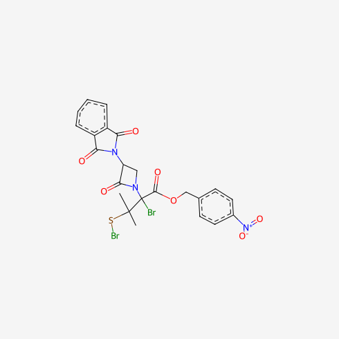 CC(C)(SBr)C(Br)(C(=O)OCc1ccc([N+](=O)[O-])cc1)N1CC(N2C(=O)c3ccccc3C2=O)C1=O